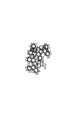 CC1(C)c2cc(N(c3cc4c(c5ccccc35)-c3c(c5ccccc5c5ccccc35)C4(C)C)c3cccc4c3oc3ccccc34)c3ccccc3c2-c2c1c1ccccc1c1ccccc21